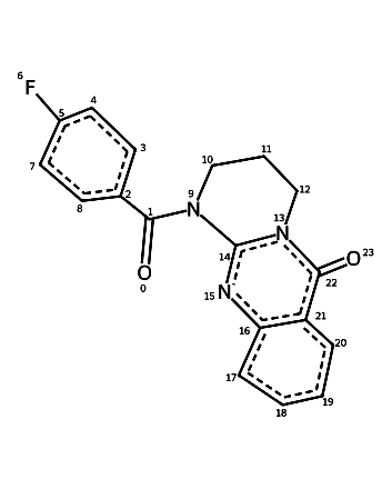 O=C(c1ccc(F)cc1)N1CCCn2c1nc1ccccc1c2=O